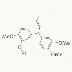 CC=CC(c1ccc(OC)c(OC)c1)c1ccc(OC)c(OCC)c1